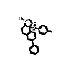 Cc1ccc(S(=O)(=O)C23CCN(Cl)C2CCc2cc(-c4ccccc4)ccc23)cc1